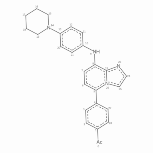 CC(=O)c1ccc(-c2ccc(Nc3ccc(N4CCCCC4)cc3)c3nccn23)cc1